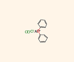 [Al+3].[Cl-].[Cl-].[Cl-].c1ccc(Oc2ccccc2)cc1